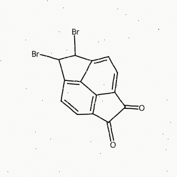 O=C1C(=O)c2ccc3c4c(ccc1c24)C(Br)C3Br